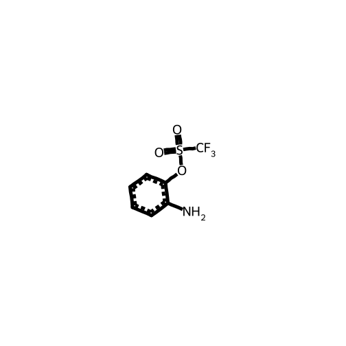 Nc1ccccc1OS(=O)(=O)C(F)(F)F